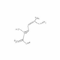 C=C/C(O)=C\C=C(/C)C(=C)O